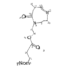 CCCCCCCCCCCC(=O)OCCN1CCN=CC(C)C1=O